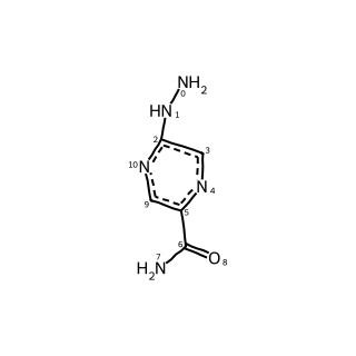 NNc1cnc(C(N)=O)cn1